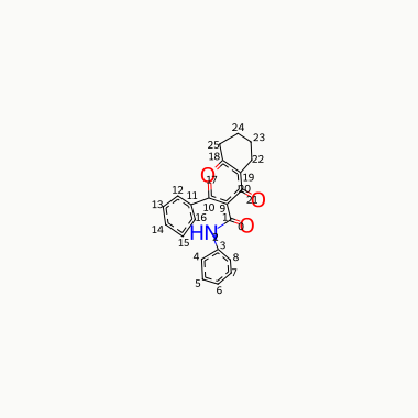 O=C(Nc1ccccc1)c1c(-c2ccccc2)oc2c(c1=O)CCCC2